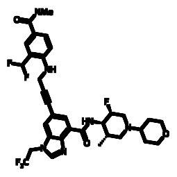 CNC(=O)c1ccc(NCC#Cc2cc(C(=O)N[C@@H]3[C@@H](C)CN(C4CCOCC4)C[C@@H]3F)c3ncn(CC(F)(F)F)c3c2)c(C(F)F)c1